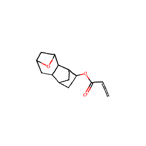 C=CC(=O)OC1CC2CC1C1C3CC(CC21)O3